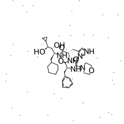 O=C(N[C@@H](CC1CCCCC1)[C@@H](O)[C@@H](O)C1CC1)[C@H](Cc1c[nH]cn1)NC(=O)[C@H](Cc1ccccc1)NC(=O)N1CCOCC1